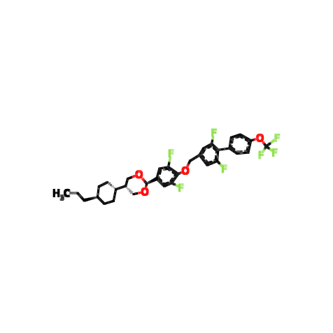 CCC[C@H]1CC[C@H]([C@H]2CO[C@H](c3cc(F)c(OCc4cc(F)c(-c5ccc(OC(F)(F)F)cc5)c(F)c4)c(F)c3)OC2)CC1